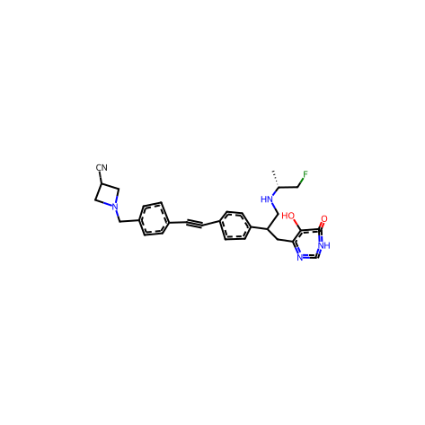 C[C@H](CF)NCC(Cc1nc[nH]c(=O)c1O)c1ccc(C#Cc2ccc(CN3CC(C#N)C3)cc2)cc1